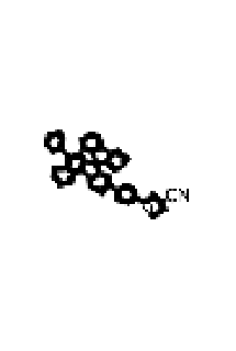 N#Cc1ccnc(-c2ccc(-c3ccc4c(c3)C3(c5ccccc5-c5ccccc53)c3cc(-c5ccccc5)c5ccccc5c3-4)cc2)c1